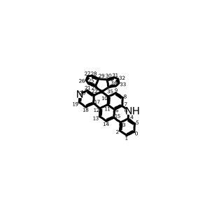 c1ccc2c(c1)Nc1ccc3c4c(ccc-2c14)-c1ccncc1C31c2ccccc2-c2ccccc21